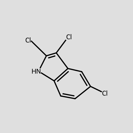 Clc1ccc2[nH]c(Cl)c(Cl)c2c1